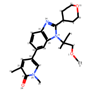 CCOCC(C)(C)n1c(C2CCOCC2)nc2ccc(-c3cc(C)c(=O)n(C)c3)cc21